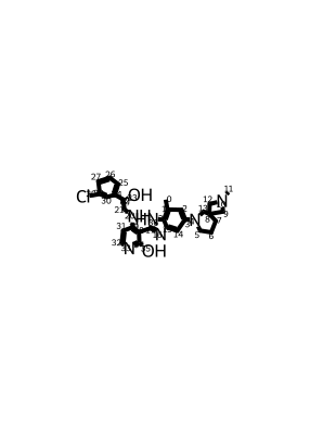 Cc1cc(N2CCCC3(CN(C)C3)C2)cc2nc(-c3c(NC[C@H](O)c4cccc(Cl)c4)ccnc3O)[nH]c12